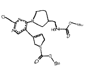 CC(C)(C)OC(=O)NCC1CCN(c2nc(Cl)ncc2C2=CCN(C(=O)OC(C)(C)C)C2)C1